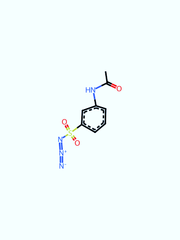 CC(=O)Nc1cccc(S(=O)(=O)N=[N+]=[N-])c1